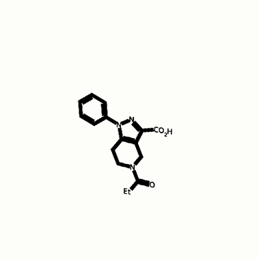 CCC(=O)N1CCc2c(c(C(=O)O)nn2-c2ccccc2)C1